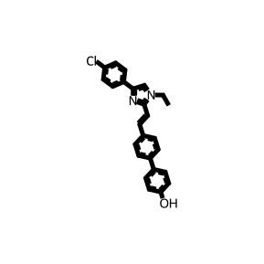 CCn1cc(-c2ccc(Cl)cc2)nc1C=Cc1ccc(-c2ccc(O)cc2)cc1